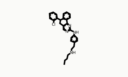 CCCCNCCc1ccc(Nc2ncc3c(n2)-c2ccccc2C(c2ccccc2Cl)C3)cc1